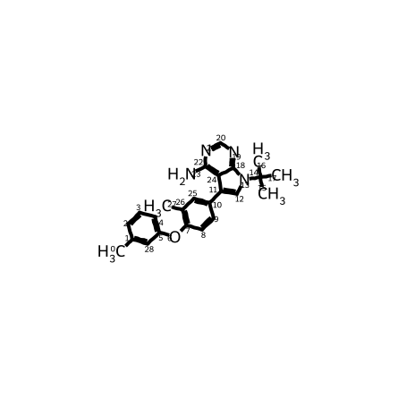 Cc1cccc(Oc2ccc(-c3cn(C(C)(C)C)c4ncnc(N)c34)cc2C)c1